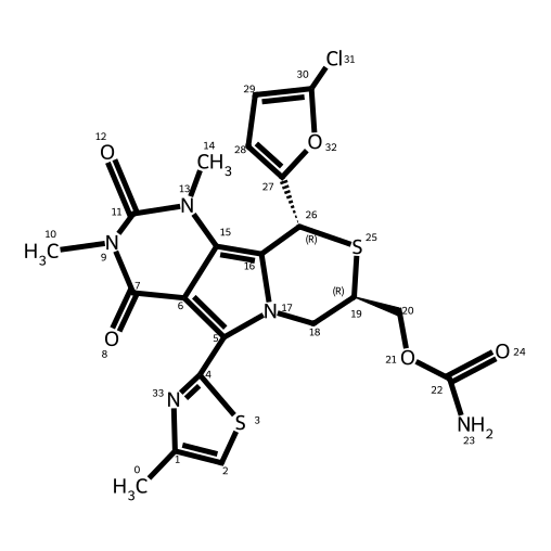 Cc1csc(-c2c3c(=O)n(C)c(=O)n(C)c3c3n2C[C@H](COC(N)=O)S[C@H]3c2ccc(Cl)o2)n1